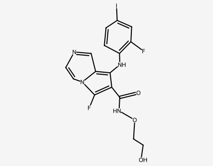 O=C(NOCCO)c1c(Nc2ccc(I)cc2F)c2cnccn2c1F